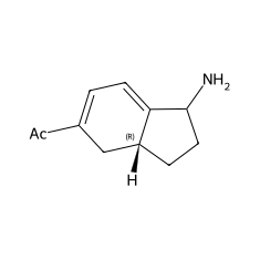 CC(=O)C1=CC=C2C(N)CC[C@@H]2C1